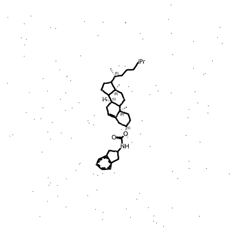 CC(C)CCC[C@@H](C)C1CCC2[C@@H]3CC=C4C[C@@H](OC(=O)NC5Cc6ccccc6C5)CC[C@]4(C)C3CC[C@@]21C